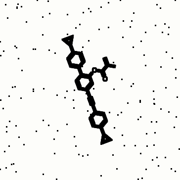 C=C(C)C(=O)Oc1cc(C#Cc2ccc(C3CC3)cc2)ccc1-c1ccc(C2CC2)cc1